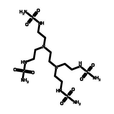 NS(=O)(=O)NCCN(CCNS(N)(=O)=O)CCN(CCNS(N)(=O)=O)CCNS(N)(=O)=O